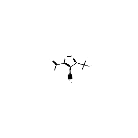 N#Cc1c(C(F)(F)F)nsc1C(=O)Cl